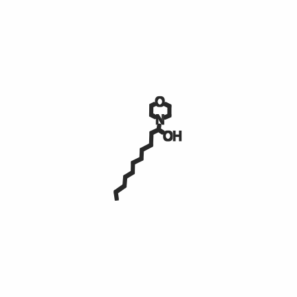 CCCCCCCCCCC(O)N1CCOCC1